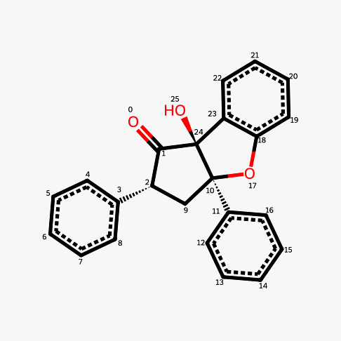 O=C1[C@@H](c2ccccc2)C[C@]2(c3ccccc3)Oc3ccccc3[C@@]12O